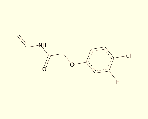 C=CNC(=O)COc1ccc(Cl)c(F)c1